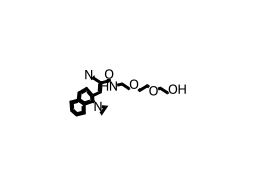 N#C/C(=C\c1ccc2ccccc2c1N1CC1)C(=O)NCCOCCOCCO